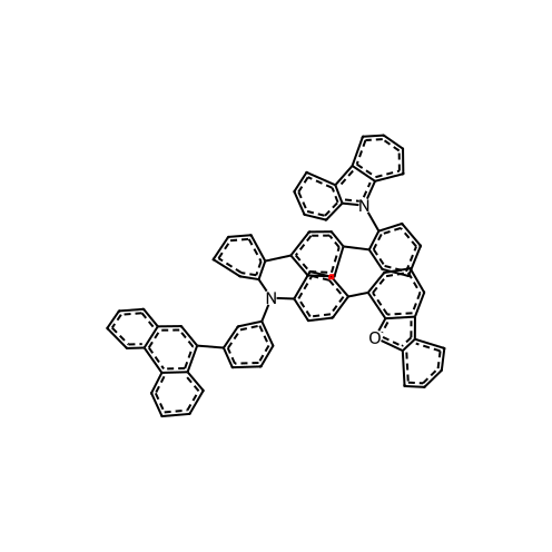 c1cc(-c2cc3ccccc3c3ccccc23)cc(N(c2ccc(-c3cccc4c3oc3ccccc34)cc2)c2ccccc2-c2ccc(-c3ccccc3-n3c4ccccc4c4ccccc43)cc2)c1